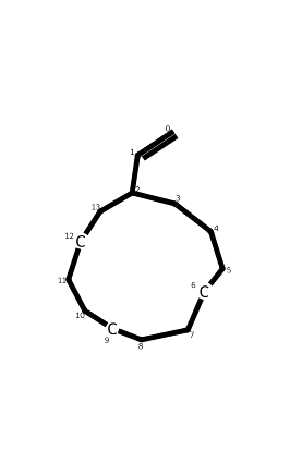 C=CC1CCCCCCCCCCC1